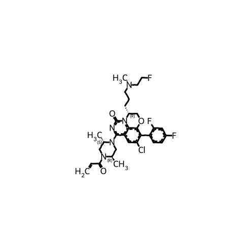 C=CC(=O)N1C[C@H](C)N(c2nc(=O)n3c4c(c(-c5ccc(F)cc5F)c(Cl)cc24)OC[C@H]3CCCN(C)CCF)C[C@H]1C